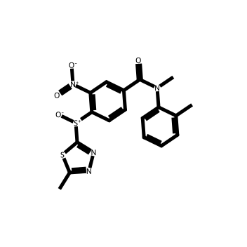 Cc1nnc([S+]([O-])c2ccc(C(=O)N(C)c3ccccc3C)cc2[N+](=O)[O-])s1